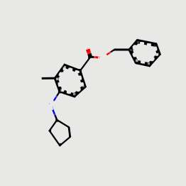 Cc1cc(C(=O)OCc2ccccc2)ccc1NC1CCCC1